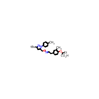 CCC(Oc1ccc(CC=NOCc2cc(C(C)(C)C)nn2-c2ccc(C)cc2)cc1C)C(=O)O